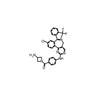 NC1CN(C(=O)c2ccc(Nc3ncc4c(n3)-c3ccc(Cl)cc3C(c3ccccc3C(F)(F)F)=NC4)cc2)C1